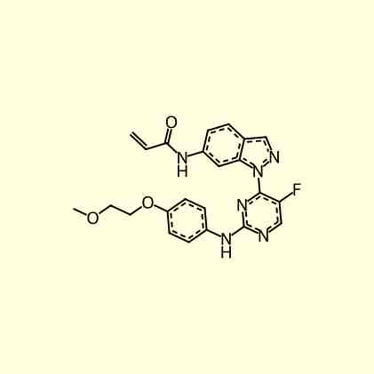 C=CC(=O)Nc1ccc2cnn(-c3nc(Nc4ccc(OCCOC)cc4)ncc3F)c2c1